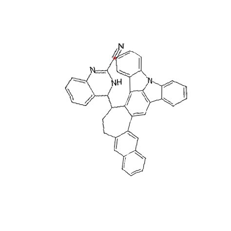 N#CC1=Nc2ccccc2C(C2CCc3cc4ccccc4cc3-c3cc4c5ccccc5n5c6ccccc6c(c32)c45)N1